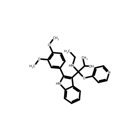 CCNC(Oc1ccncc1)(c1c(-c2ccc(OC)c(OC)c2)[nH]c2ccccc12)C(C)O